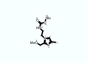 COCc1nc(I)cn1CCNC(=O)OC(C)(C)C